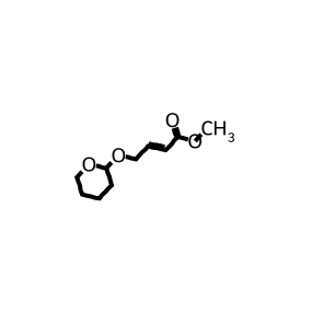 COC(=O)C=CCOC1CCCCO1